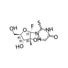 C[C@@]1(O)[C@H](O)[C@@H](CO)O[C@@]1(F)n1ccc(=O)[nH]c1=S